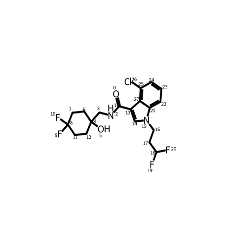 O=C(NCC1(O)CCC(F)(F)CC1)c1cn(CCC(F)F)c2cccc(Cl)c12